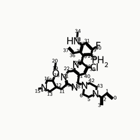 C=CC(=C)N1CCN(C2=NC(CC3CN(C)CC3OCC)=NCc3nc(-c4c(P)c(F)cc(NC)c4C=C)c(Cl)cc32)CC1